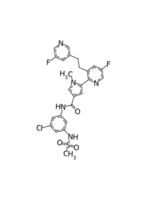 Cn1cc(C(=O)Nc2cc(Cl)cc(NS(C)(=O)=O)c2)cc1-c1ncc(F)cc1CCc1cncc(F)c1